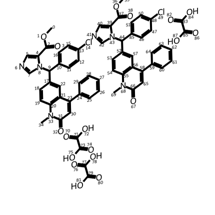 COC(=O)c1cncn1C(c1ccc(Cl)cc1)c1ccc2c(c1)c(-c1ccccc1)cc(=O)n2C.COC(=O)c1cncn1C(c1ccc(Cl)cc1)c1ccc2c(c1)c(-c1ccccc1)cc(=O)n2C.O=C(O)C(=O)O.O=C(O)C(=O)O.O=C(O)C(=O)O